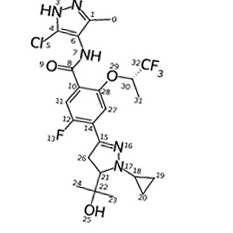 Cc1n[nH]c(Cl)c1NC(=O)c1cc(F)c(C2=NN(C3CC3)C(C(C)(C)O)C2)cc1O[C@@H](C)C(F)(F)F